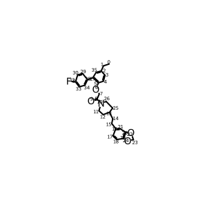 CCc1ccc(OCC(=O)N2CCC(CCc3ccc4c(c3)OCO4)CC2)c(-c2ccc(F)cc2)c1